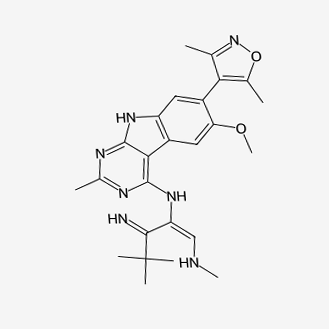 CN/C=C(/Nc1nc(C)nc2[nH]c3cc(-c4c(C)noc4C)c(OC)cc3c12)C(=N)C(C)(C)C